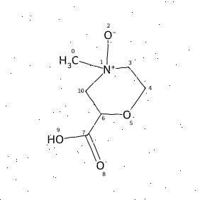 C[N+]1([O-])CCOC(C(=O)O)C1